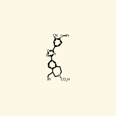 CC(C)CC1CN(C(=O)O)CCc2cc(-c3noc(-c4ccc(OC(C)C)c(C#N)c4)n3)ccc21